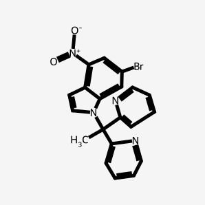 CC(c1ccccn1)(c1ccccn1)n1ccc2c([N+](=O)[O-])cc(Br)cc21